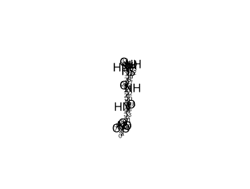 CCCC(=O)N(C=O)OC(=O)CCCCCNC(=O)CCCCCNC(=O)CCCCC1SC[C@@H]2NC(=O)N[C@H]12